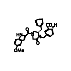 COc1ccc2[nH]c(C(=O)N3CC(=O)N(Cc4cccc(C(=O)O)c4)[C@@H](Cc4ccccc4)C3)cc2c1